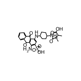 CC(C(=O)O)[C@@H](C)C(=O)NC1CCC(Nc2cc(S(=O)(=O)O)c(N)c3c2C(=O)c2ccccc2C3=O)CC1